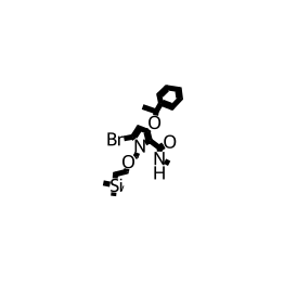 CNC(=O)c1c(OC(C)c2ccccc2)cc(Br)n1COCC[Si](C)(C)C